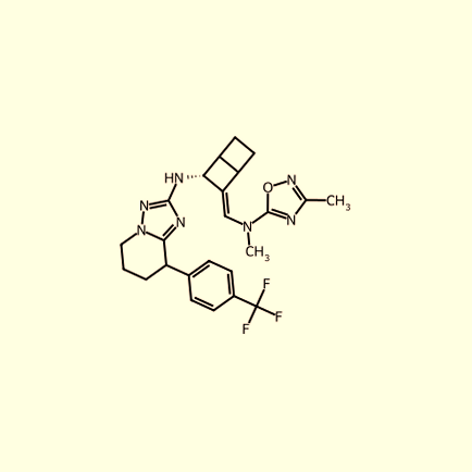 Cc1noc(N(C)/C=C2\C3CCC3[C@H]2Nc2nc3n(n2)CCCC3c2ccc(C(F)(F)F)cc2)n1